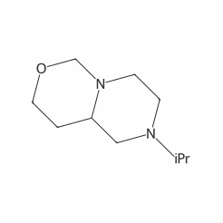 CC(C)N1CCN2COCCC2C1